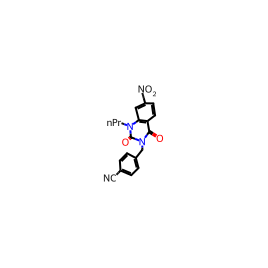 CCCn1c(=O)n(Cc2ccc(C#N)cc2)c(=O)c2ccc([N+](=O)[O-])cc21